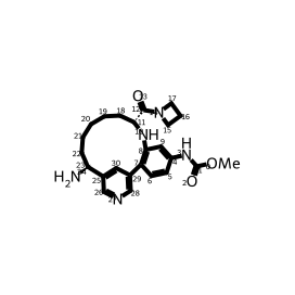 COC(=O)Nc1ccc2c(c1)N[C@@H](C(=O)N1CCC1)CCCCC[C@H](N)c1cncc-2c1